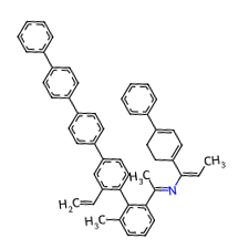 C=Cc1cc(-c2ccc(-c3ccc(-c4ccccc4)cc3)cc2)ccc1-c1c(C)cccc1/C(C)=N/C(=C/C)C1=CC=C(c2ccccc2)CC1